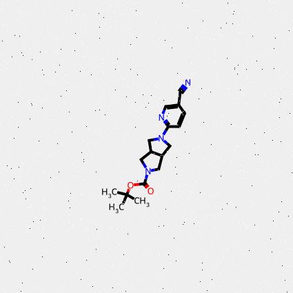 CC(C)(C)OC(=O)N1CC2CN(c3ccc(C#N)cn3)CC2C1